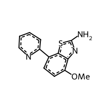 COc1ccc(-c2ccccn2)c2sc(N)nc12